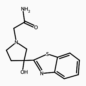 NC(=O)CN1CCC(O)(c2nc3ccccc3s2)C1